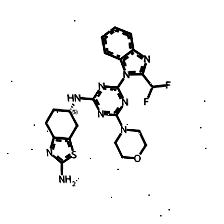 Nc1nc2c(s1)C[C@@H](Nc1nc(N3CCOCC3)nc(-n3c(C(F)F)nc4ccccc43)n1)CC2